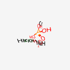 Cl.O.O=P(O)(O)O.[Cr].[KH].[KH].[NaH]